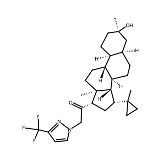 CC1([C@@H]2C[C@H](C(=O)Cn3ccc(C(F)(F)F)n3)[C@@]3(C)CC[C@H]4[C@@H](CC[C@@H]5C[C@](C)(O)CC[C@@H]54)[C@H]23)CC1